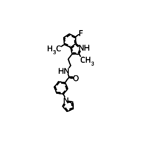 Cc1[nH]c2c(F)ccc(C)c2c1CCNC(=O)c1cccc(-n2cccc2)c1